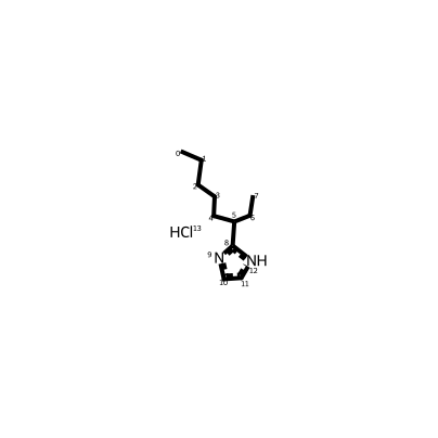 CCCCCC(CC)c1ncc[nH]1.Cl